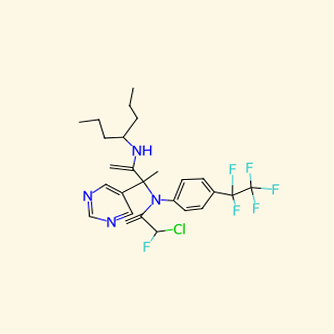 C=C(C(F)Cl)N(c1ccc(C(F)(F)C(F)(F)F)cc1)C(C)(C(=C)NC(CCC)CCC)c1cncnc1